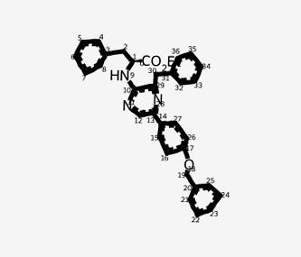 CCOC(=O)[C@H](Cc1ccccc1)Nc1ncc(-c2ccc(OCc3ccccc3)cc2)nc1Cc1ccccc1